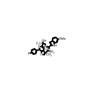 COc1ccc2cc(C(=O)NC[C@](O)(c3cc4c(c(-c5ccc(F)cc5)n3)OC[C@]4(C)C(N)=O)C(F)(F)F)[nH]c2c1